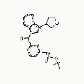 CC(C)(C)OC(=O)Nc1cccc(C(=O)c2cn(C3CCOC3)c3ccccc23)c1